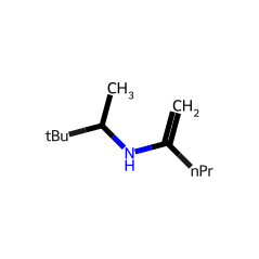 C=C(CCC)NC(C)C(C)(C)C